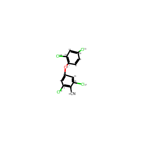 N#Cc1c(Cl)cc(Oc2ccc(Cl)cc2Cl)cc1Cl